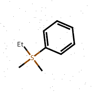 CCS(C)(C)c1ccccc1